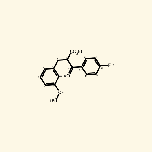 CCOC(=O)C(Cc1cccc(OC(C)(C)C)c1)C(=O)c1ccc(F)cc1